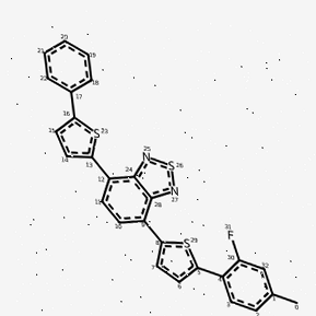 Cc1ccc(-c2ccc(-c3ccc(-c4ccc(-c5ccccc5)s4)c4nsnc34)s2)c(F)c1